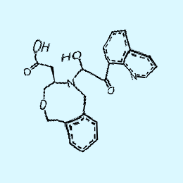 O=C(O)C[C@@H]1COCc2ccccc2CN1C(O)C(=O)c1cccc2cccnc12